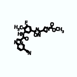 COC(=O)N1CC(c2noc(-c3cc(F)c(C)c(NC(=O)c4cnc5ccc(C#N)cn45)c3)n2)C1